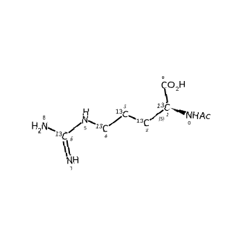 CC(=O)N[13C@@H]([13CH2][13CH2][13CH2]N[13C](=N)N)[13C](=O)O